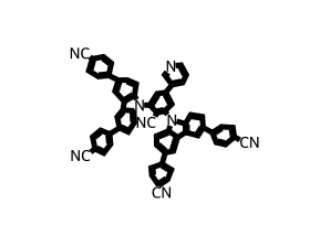 N#Cc1ccc(-c2ccc3c(c2)c2cc(-c4ccc(C#N)cc4)ccc2n3-c2cc(-c3cccnc3)cc(-n3c4ccc(-c5ccc(C#N)cc5)cc4c4cc(-c5ccc(C#N)cc5)ccc43)c2C#N)cc1